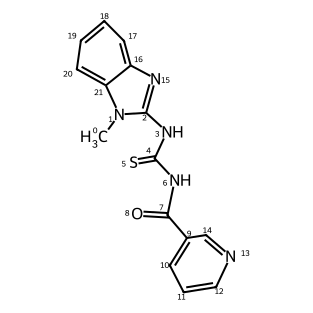 Cn1c(NC(=S)NC(=O)c2cccnc2)nc2ccccc21